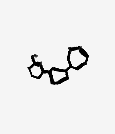 NC1=NC(c2cccc(C3=CSN=CN=C3)c2)CCS1